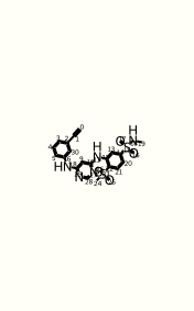 C#Cc1cccc(Nc2cc(Nc3cc(S(=O)(=O)NC)ccc3S(C)(=O)=O)ncn2)c1